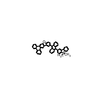 C[Si]1(C)c2ccccc2-c2cc(-c3c4ccccc4c(-c4ccc5oc6cc7c8ccccc8c8ccccc8c7cc6c5c4)c4ccccc34)ccc21